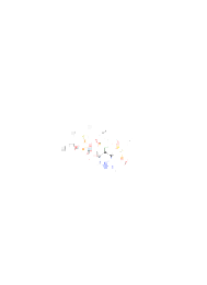 CCS(=O)(=O)c1c(Cl)c(OP(=S)(OC(C)C)OC(C)C)nn1C